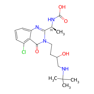 C[C@H](NC(=O)O)c1nc2cccc(Cl)c2c(=O)n1CCC(O)CNC(C)(C)C